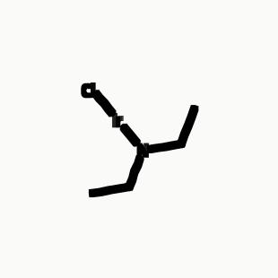 CC[N](CC)[Ir][Cl]